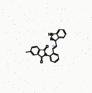 Cc1ccc2c(c1)C(=O)N(c1ccccc1/C=C/c1n[nH]c3ccccc13)C2=O